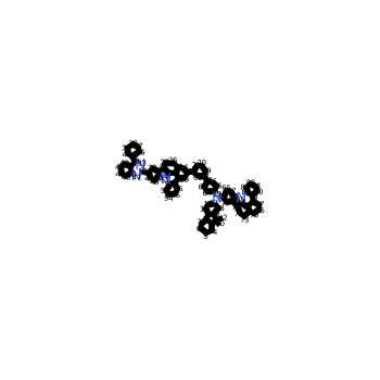 CC1(C)c2ccccc2-c2ccc(N(c3ccc(-c4cccc(-c5cc6ccc7c8cc(-c9nc(-c%10ccccc%10)c%10ccccc%10n9)ccc8n8c9ccccc9c(c5)c6c78)c4)cc3)c3ccc4c(c3)c3ccc5cccc6c7ccccc7n4c3c56)cc21